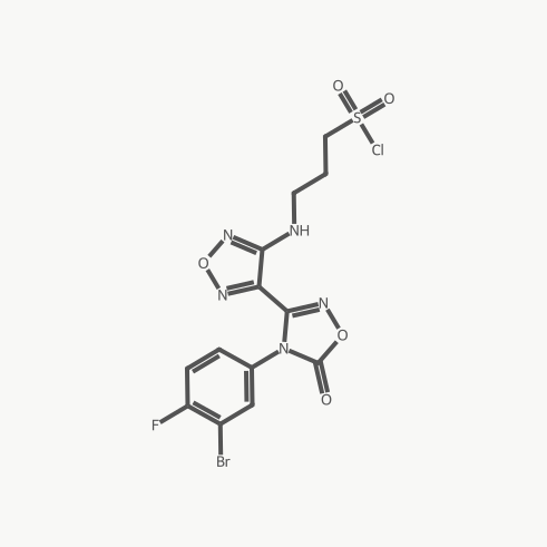 O=c1onc(-c2nonc2NCCCS(=O)(=O)Cl)n1-c1ccc(F)c(Br)c1